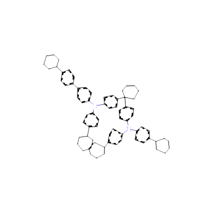 c1cc(C2CCCCC2)ccc1-c1ccc(N(c2ccc(C3CCCCC3)cc2)c2ccc(C3(c4ccc(N(c5ccc(C6CCCCC6)cc5)c5ccc(C6CCCCC6)cc5)cc4)CCCCC3)cc2)cc1